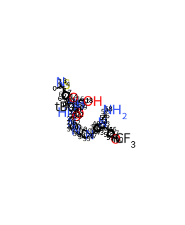 Cc1ncsc1-c1ccc([C@@H](C)NC(=O)[C@H]2C[C@H](O)CN2C(=O)[C@H](NC(=O)CN2CCN(CC3CCN(Cc4ccc5c(c4)c(-c4ccc(OC(F)(F)F)cc4)cn5CCCN)CC3)CC2)C(C)(C)C)cc1